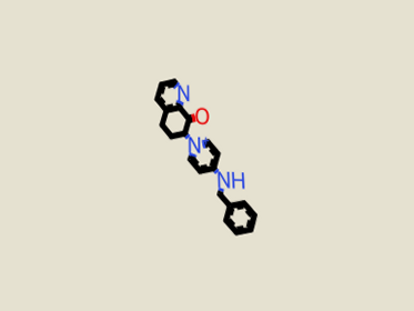 O=C1c2ncccc2CCC1[n+]1ccc(NCc2ccccc2)cc1